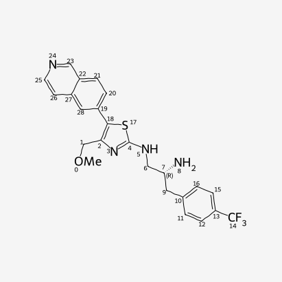 COCc1nc(NC[C@H](N)Cc2ccc(C(F)(F)F)cc2)sc1-c1ccc2cnccc2c1